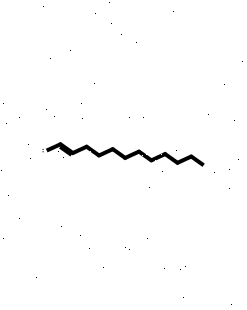 [CH]C=CCCCCCCCCCC